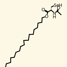 CCCCCCCCCCCCCCCCCCOC(=O)[C@H](C[SeH])NC(C)=O